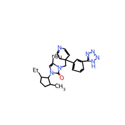 CCCCc1cn(C2C(C)CCC2CC)c(=O)n1CC1(c2cccc(-c3nnn[nH]3)c2)C=CN=CC1